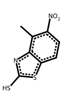 Cc1c([N+](=O)[O-])ccc2sc(S)nc12